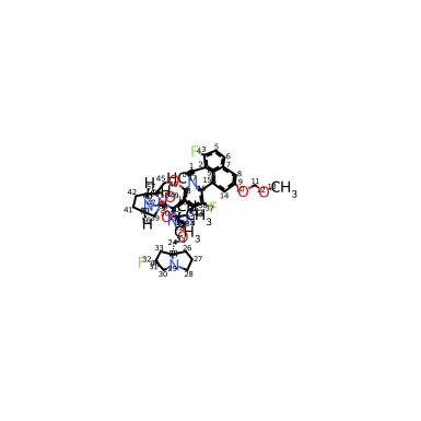 C#Cc1c(F)ccc2cc(OCOC)cc(-c3nc4c5c(nc(OC[C@]67CCCN6C[C@H](F)C7)nc5c3F)N3C[C@@H]5CC[C@H]([C@@H]3CO4)N5C(=O)OC(C)(C)C)c12